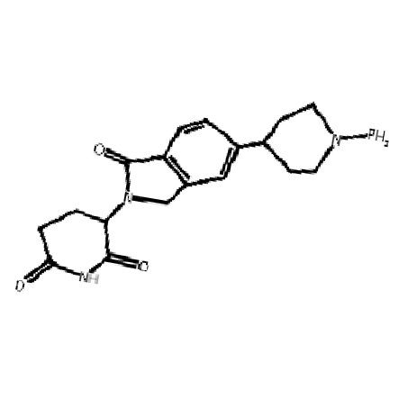 O=C1CCC(N2Cc3cc(C4CCN(P)CC4)ccc3C2=O)C(=O)N1